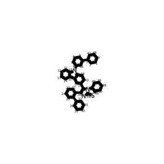 c1ccc(-c2cccc(-n3c4ccccc4c4cc(-c5c(-c6ccccc6-c6ccccc6)nc6sc7ccccc7n56)ccc43)c2)cc1